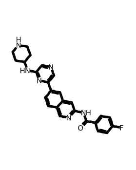 O=C(Nc1cc2cc(-c3cncc(NC4CCNCC4)n3)ccc2cn1)c1ccc(F)cc1